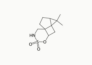 CC1(C)C2CCC34CNS(=O)(=O)OC3CC214